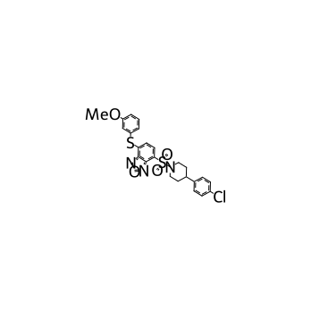 COc1cccc(Sc2ccc(S(=O)(=O)N3CCC(c4ccc(Cl)cc4)CC3)c3nonc23)c1